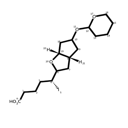 O=C(O)CCC[C@@H](I)C1C[C@H]2CC(OC3CCCCO3)C[C@H]2O1